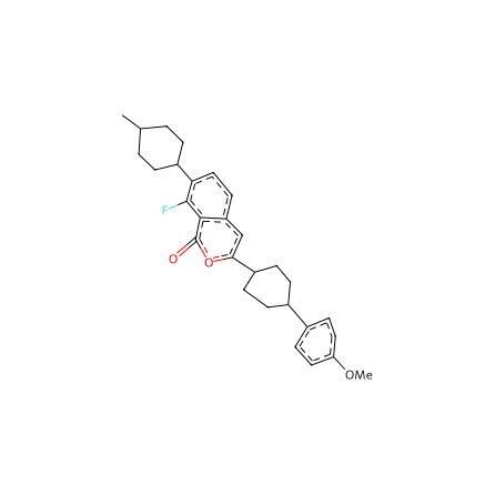 COc1ccc(C2CCC(c3cc4ccc(C5CCC(C)CC5)c(F)c4c(=O)o3)CC2)cc1